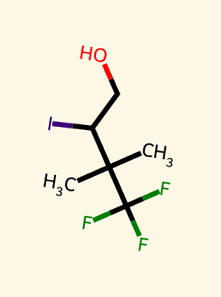 CC(C)(C(I)CO)C(F)(F)F